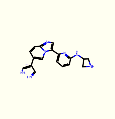 N=C/C(=C\N)c1ccc2ncc(-c3cccc(NC4CNC4)n3)n2c1